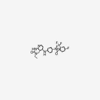 CCN1Cc2c(Nc3ccc(NC(=O)c4ccc(F)cc4C(F)(F)F)cc3)ccnc2NC1=O